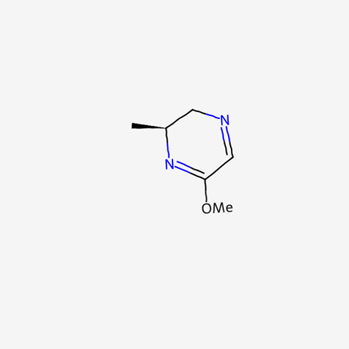 COC1=N[C@@H](C)CN=C1